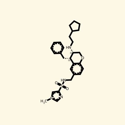 Cn1cnc(S(=O)(=O)NCc2ccc3c(c2)[C@H](Cc2ccccc2)[C@H](NCCC2CCCC2)CO3)c1